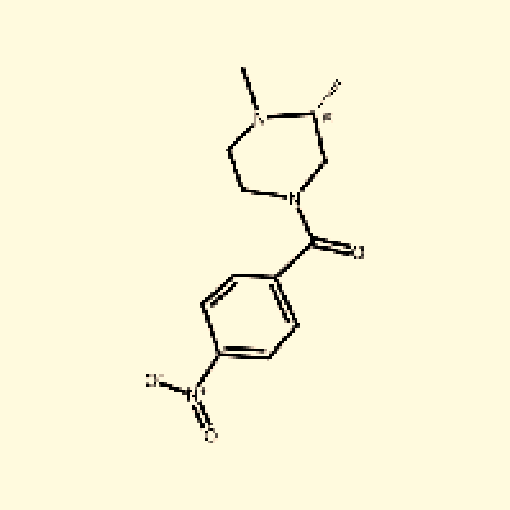 C[C@@H]1CN(C(=O)c2ccc([N+](=O)[O-])cc2)CCN1C